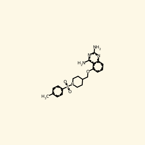 Cc1ccc(S(=O)(=O)N2CCC(COc3cccc4nc(N)nc(N)c34)CC2)cc1